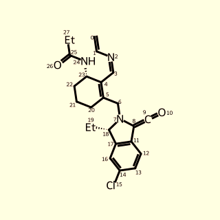 C=C/N=C\C1=C(CN2C(=C=O)c3ccc(Cl)cc3[C@@H]2CC)CCC[C@@H]1NC(=O)CC